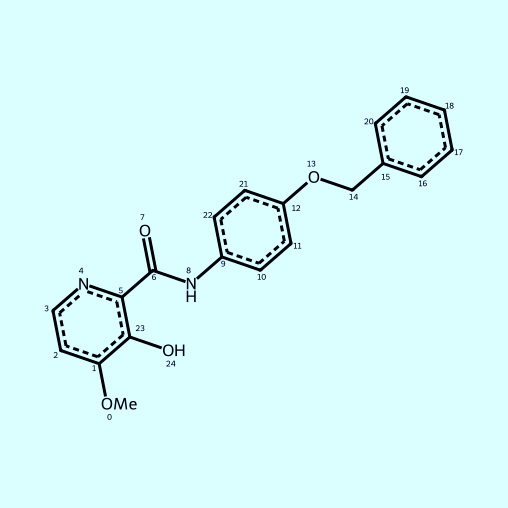 COc1ccnc(C(=O)Nc2ccc(OCc3ccccc3)cc2)c1O